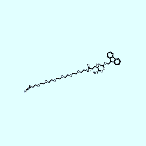 [N-]=[N+]=NCCOCCOCCOCCOCCOCCOCCNC(=O)CCC(NC(=O)OCC1c2ccccc2-c2ccccc21)C(=O)O